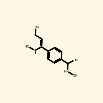 OC/C=C(\NO)c1ccc(C(O)NO)cc1